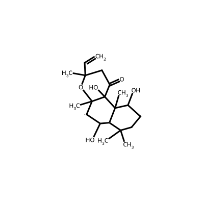 C=CC1(C)CC(=O)C2(O)C(C)([CH]C(O)C3C(C)(C)CCC(O)C32C)O1